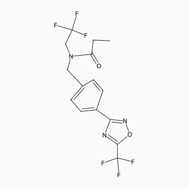 CCC(=O)N(Cc1ccc(-c2noc(C(F)(F)F)n2)cc1)CC(F)(F)F